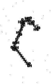 CN[C@H](CCCCNC(=O)CC[C@@H](NC(=O)CCC(NC(=O)COCCOCCNC(=O)COCCOCCNC(=O)CCC(NC(=O)CCCCCCCCCCCCCCCCC(=O)O)C(=O)O)C(=O)O)C(=O)O)C(C)=O